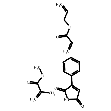 C=C(C)C(=O)OC.C=CCOC(=O)C=C.O=C1C=C(c2ccccc2)C(=O)N1